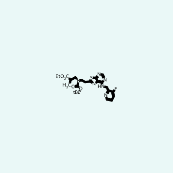 CCOC(=O)C(C)CN(CCc1nc2c(NCc3ncccc3F)ncnc2s1)C(=O)OC(C)(C)C